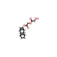 O=C(CO)OCC(=O)O[C@H]1CC2CC1C1C3CCC(C3)C21